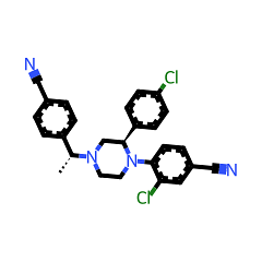 C[C@H](c1ccc(C#N)cc1)N1CCN(c2ccc(C#N)cc2Cl)[C@H](c2ccc(Cl)cc2)C1